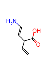 C=CC(C=CN)C(=O)O